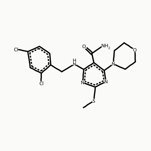 CSc1nc(NCc2ccc(Cl)cc2Cl)c(C(N)=O)c(N2CCOCC2)n1